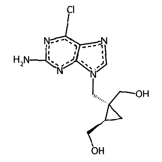 Nc1nc(Cl)c2ncn(C[C@]3(CO)C[C@H]3CO)c2n1